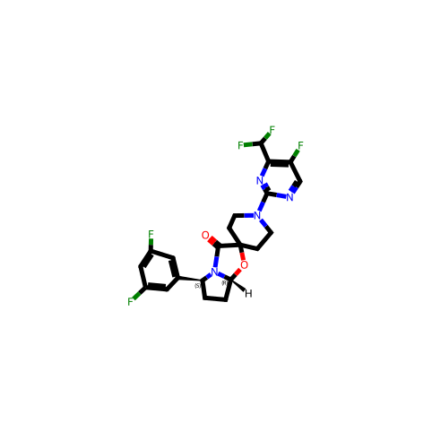 O=C1N2[C@@H](CC[C@H]2c2cc(F)cc(F)c2)OC12CCN(c1ncc(F)c(C(F)F)n1)CC2